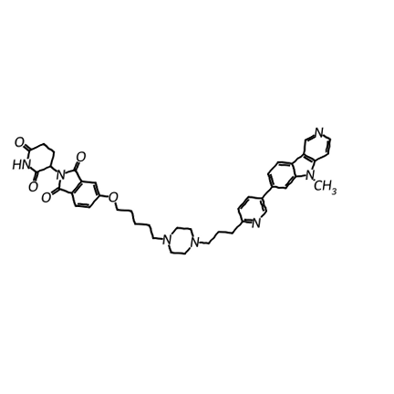 Cn1c2ccncc2c2ccc(-c3ccc(CCCN4CCN(CCCCCOc5ccc6c(c5)C(=O)N(C5CCC(=O)NC5=O)C6=O)CC4)nc3)cc21